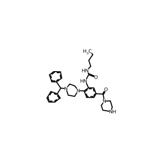 CCCCNC(=O)Nc1cc(C(=O)N2CCNCC2)ccc1N1CCN(C(c2ccccc2)c2ccccc2)CC1